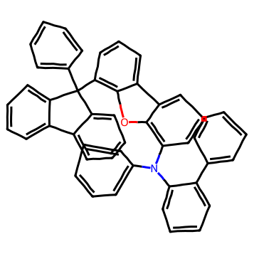 c1ccc(-c2ccccc2N(c2ccccc2)c2cccc3c2oc2c(C4(c5ccccc5)c5ccccc5-c5ccccc54)cccc23)cc1